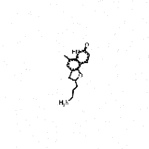 Cc1cc2c(c3ccc(=O)[nH]c13)OC(CCCN)C2